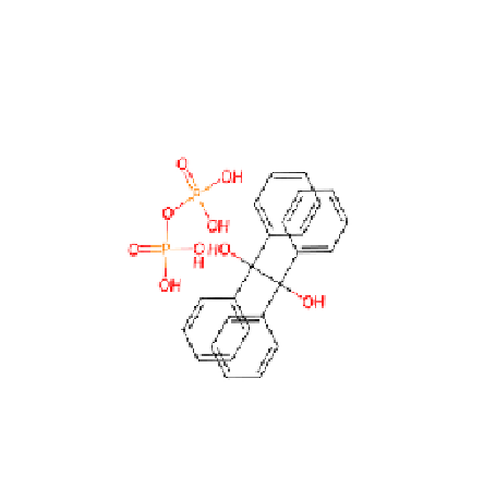 O=P(O)(O)OP(=O)(O)O.OC(c1ccccc1)(c1ccccc1)C(O)(c1ccccc1)c1ccccc1